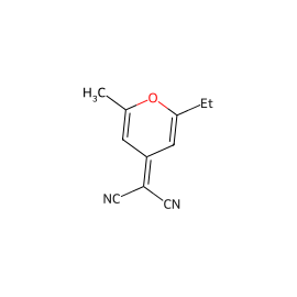 CCC1=CC(=C(C#N)C#N)C=C(C)O1